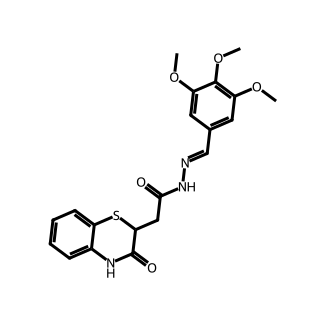 COc1cc(C=NNC(=O)CC2Sc3ccccc3NC2=O)cc(OC)c1OC